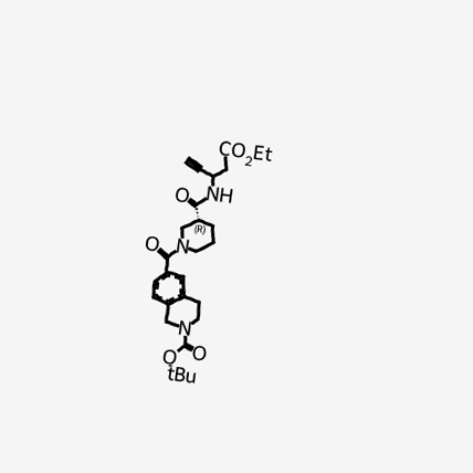 C#CC(CC(=O)OCC)NC(=O)[C@@H]1CCCN(C(=O)c2ccc3c(c2)CCN(C(=O)OC(C)(C)C)C3)C1